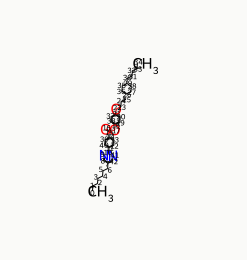 CCCCCCCc1cnc(-c2ccc(C(=O)Oc3ccc(OCCC[C@H]4CC[C@H](CCCCC)CC4)cc3)cc2)nc1